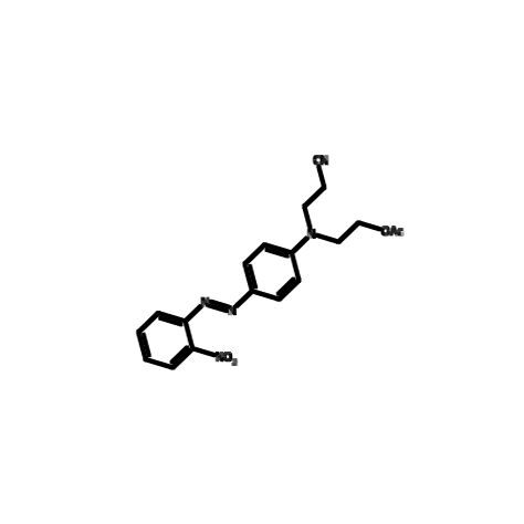 CC(=O)OCCN(CCC#N)c1ccc(/N=N/c2ccccc2[N+](=O)[O-])cc1